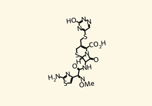 CON=C(C(=O)NC1C(=O)N2C(C(=O)O)=C(CSc3cnnc(O)n3)CS[C@@H]12)c1csc(N)n1